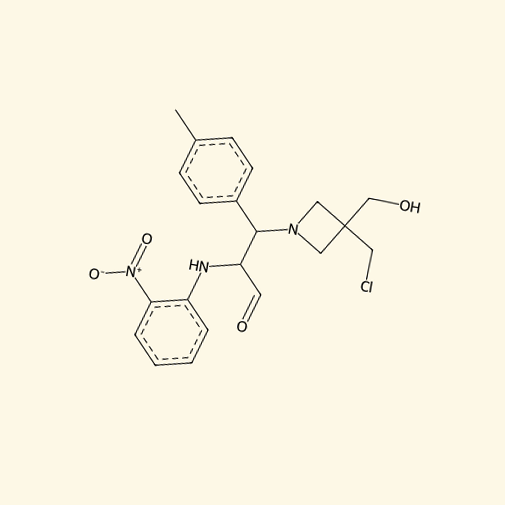 Cc1ccc(C(C(C=O)Nc2ccccc2[N+](=O)[O-])N2CC(CO)(CCl)C2)cc1